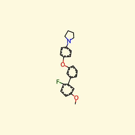 COc1ccc(F)c(-c2cccc(Oc3ccc(N4CCCC4)cc3)c2)c1